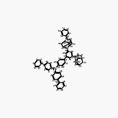 c1ccc(-c2ccc(N(c3ccc(-c4ccccc4)cc3)c3ccc(-c4cc(N5C6CC7CC(C6)CC5C7)cc(N5C6CC7CC5CC(C6)N7c5ccccc5)c4)cc3)cc2)cc1